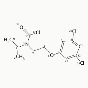 CC(C)N(CCOc1cc(Cl)cc(Cl)c1)C(=O)Cl